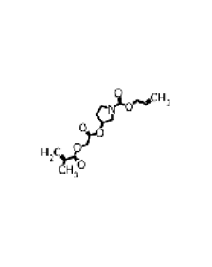 C=CCOC(=O)N1CCC(OC(=O)COC(=O)C(=C)C)C1